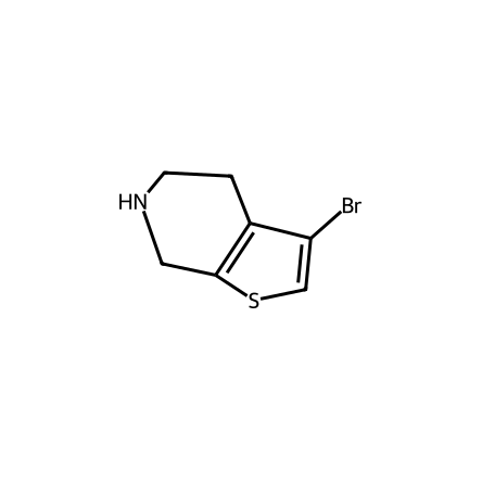 Brc1csc2c1CCNC2